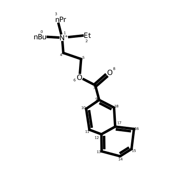 CCCC[N+](CC)(CCC)CCOC(=O)c1ccc2ccccc2c1